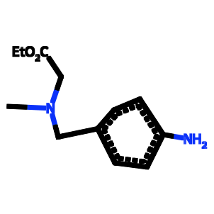 CCOC(=O)CN(C)Cc1ccc(N)cc1